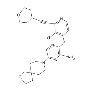 Nc1nc(N2CCC3(CCOC3)CC2)cnc1Sc1ccnc(C#CC2CCOCC2)c1Cl